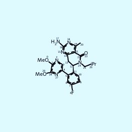 COc1ncc(-c2cc(F)ccc2[C@H]2Cc3nc(N)nc(C)c3C(=O)N2CC(C)C)nc1OC